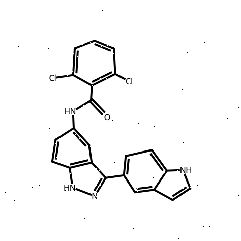 O=C(Nc1ccc2[nH]nc(-c3ccc4[nH]ccc4c3)c2c1)c1c(Cl)cccc1Cl